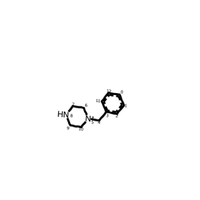 c1ccc(C[N+]2CCNCC2)cc1